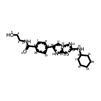 O=C(NCCO)c1ccc(-c2cn3nc(NC4CCCCC4)sc3n2)cc1